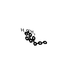 CC1(C)c2ccccc2-c2c(-n3c4ccccc4c4ccc5c(c6ccccc6n5-c5cccc(-c6ccc(-c7ccccc7)cc6)c5)c43)cccc21